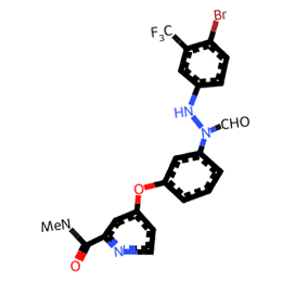 CNC(=O)c1cc(Oc2cccc(N(C=O)Nc3ccc(Br)c(C(F)(F)F)c3)c2)ccn1